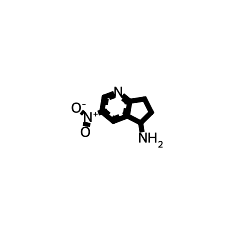 NC1CCc2ncc([N+](=O)[O-])cc21